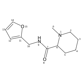 CN1CCCCC1C(=O)NCc1ccco1